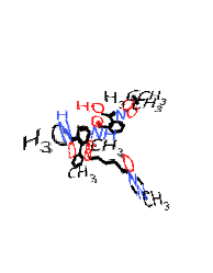 CNC(=O)c1ccc(NC(=O)c2cccc3c2c(CO)cn3C(=O)OC(C)(C)C)c(OC)c1-c1ccc(C)cc1OCCCCCC(=O)N1CCN(C)CC1